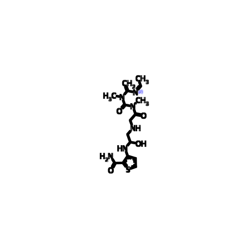 C=C(/N=C\C)N(C)C(=O)N(C)C(=O)CNCC(O)Nc1ccsc1C(N)=O